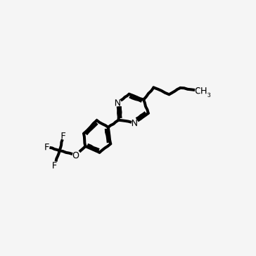 CCCCc1cnc(-c2ccc(OC(F)(F)F)cc2)nc1